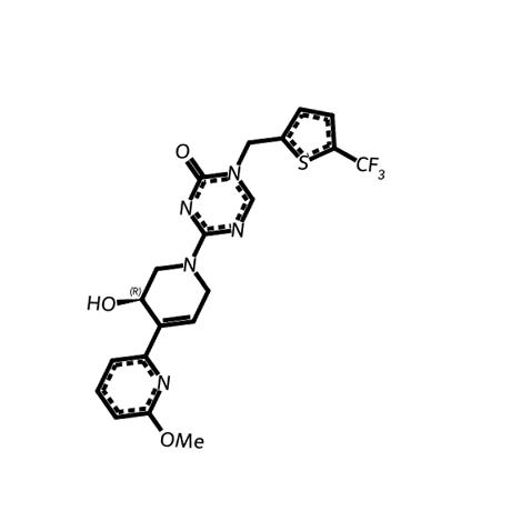 COc1cccc(C2=CCN(c3ncn(Cc4ccc(C(F)(F)F)s4)c(=O)n3)C[C@@H]2O)n1